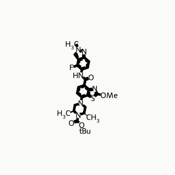 COc1nc2c(C(=O)Nc3ccc4nn(C)cc4c3F)ccc(N3C[C@H](C)N(C(=O)OC(C)(C)C)[C@@H](C)C3)c2s1